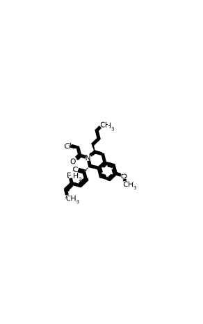 C=C(/C=C\C(F)=C/C)[C@H]1c2ccc(OC)cc2C[C@H](CCCC)N1C(=O)CCl